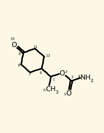 CC(OC(N)=O)C1CCC(=O)CC1